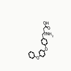 N[C@H](CC(=O)O)Cc1ccc(Oc2ccc(Oc3ccccc3)cc2)cc1